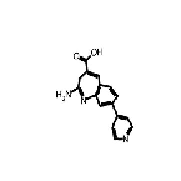 NC1=Nc2cc(-c3ccncc3)ccc2C=C(C(=O)O)C1